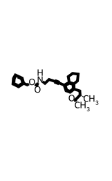 CC(=O)[C@@H](C)Cc1ccc(C#CCCNC(=O)OCc2ccccc2)c2c1CCCC2